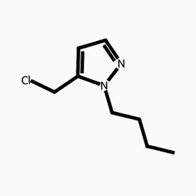 CCCCn1nccc1CCl